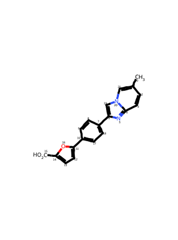 Cc1ccc2nc(-c3ccc(-c4ccc(C(=O)O)o4)cc3)cn2c1